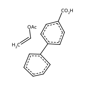 C=COC(C)=O.O=C(O)c1ccc(-c2ccccc2)cc1